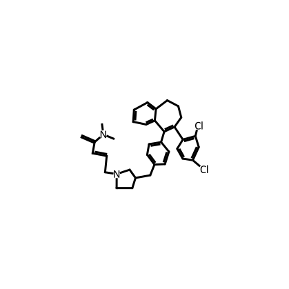 C=C(/C=C/CN1CCC(Cc2ccc(C3=C(c4ccc(Cl)cc4Cl)CCCc4ccccc43)cc2)C1)N(C)C